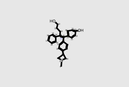 CN1CC(c2ccc(/C(=C(/CCCO)c3ccccc3)c3ccc(O)cc3)cc2)C1